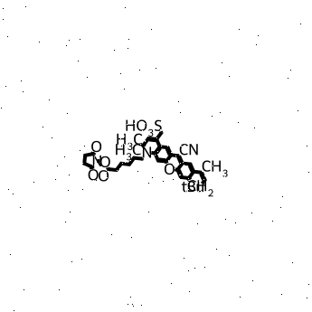 C=c1cc2c(cc1/C(C)=C\C(C)(C)C)=C(C#N)c1cc3c(cc1O2)N(CCCCCC(=O)ON1C(=O)CCC1=O)C(C)(C)C=C3CS(=O)(=O)O